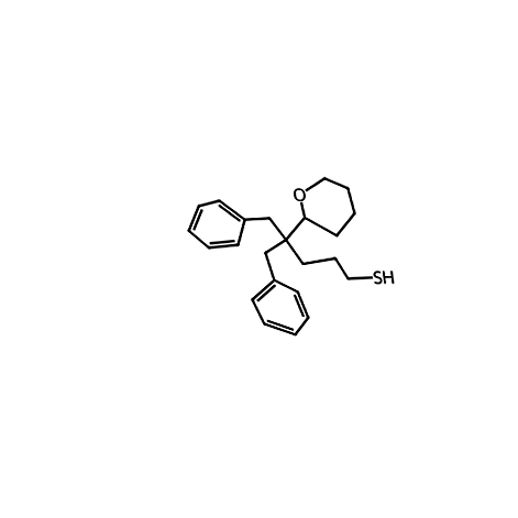 SCCCC(Cc1ccccc1)(Cc1ccccc1)C1CCCCO1